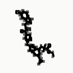 CCOC(=O)C(C)(C)Cc1cc(C2CC2)cn2cc(Cn3cc(C(=O)NCc4ncn5ccc(Cl)cc45)cn3)nc12